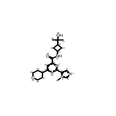 Cn1cncc1-c1nc(C(=O)NC2CC(C(C)(C)O)C2)cc(C2CCOCC2)n1